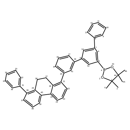 CC1(C)OB(c2cc(-c3ccccc3)cc(-c3cccc(-c4cccc5c4CCc4c(-c6ccccc6)cccc4-5)c3)c2)OC1(C)C